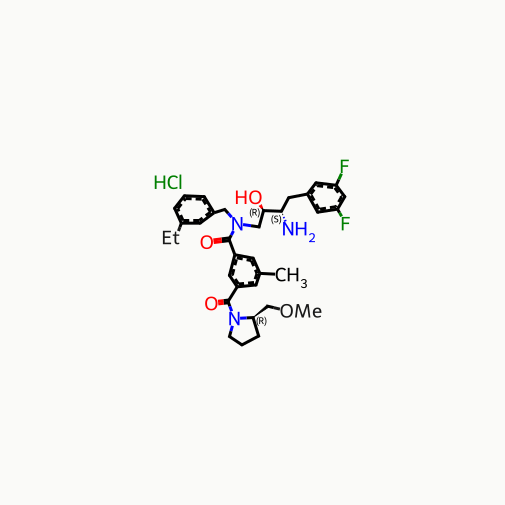 CCc1cccc(CN(C[C@@H](O)[C@@H](N)Cc2cc(F)cc(F)c2)C(=O)c2cc(C)cc(C(=O)N3CCC[C@@H]3COC)c2)c1.Cl